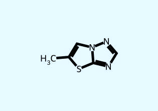 Cc1cn2ncnc2s1